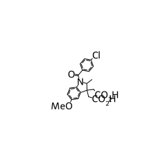 COc1ccc2c(c1)C(CC(=O)O)(CC(=O)O)C(C)N2C(=O)c1ccc(Cl)cc1